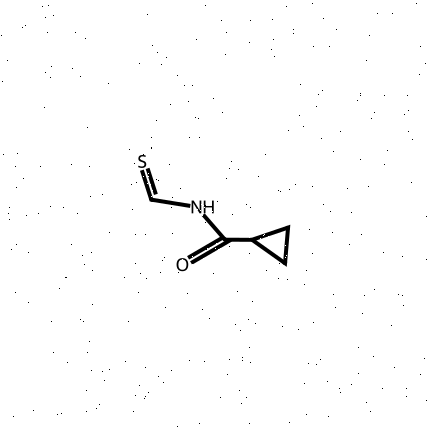 O=C(NC=S)C1CC1